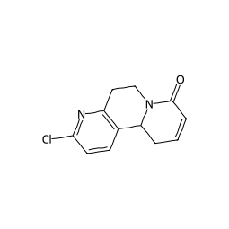 O=C1C=CCC2c3ccc(Cl)nc3CCN12